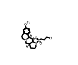 CCOc1ccc2c(c1)CCN1C[C@H]3CCCN(S(=O)(=O)CCCCl)[C@H]3C[C@@H]21